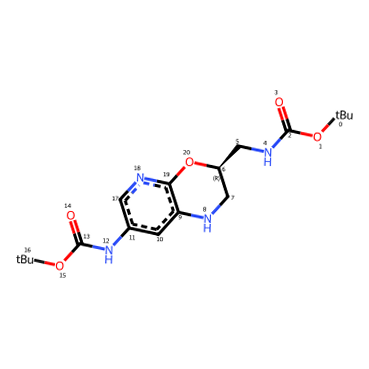 CC(C)(C)OC(=O)NC[C@H]1CNc2cc(NC(=O)OC(C)(C)C)cnc2O1